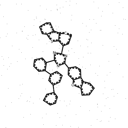 c1ccc(-c2cccc(-c3ccccc3-c3nc(-c4ccc5c(c4)oc4ccccc45)nc(-c4cccc5c4sc4ccccc45)n3)c2)cc1